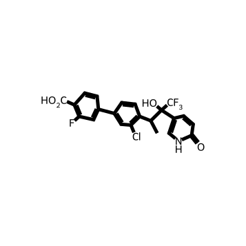 CC(c1ccc(-c2ccc(C(=O)O)c(F)c2)cc1Cl)C(O)(c1ccc(=O)[nH]c1)C(F)(F)F